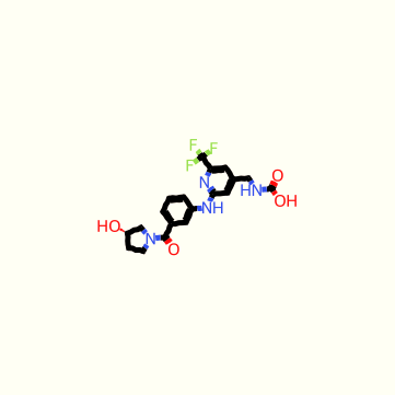 O=C(O)NCc1cc(Nc2cccc(C(=O)N3CC[C@H](O)C3)c2)nc(C(F)(F)F)c1